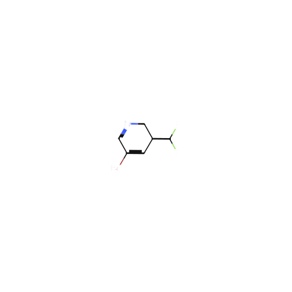 FC(F)C1C=C(Br)C=NC1